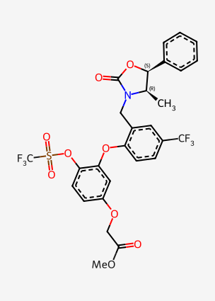 COC(=O)COc1ccc(OS(=O)(=O)C(F)(F)F)c(Oc2ccc(C(F)(F)F)cc2CN2C(=O)O[C@@H](c3ccccc3)[C@H]2C)c1